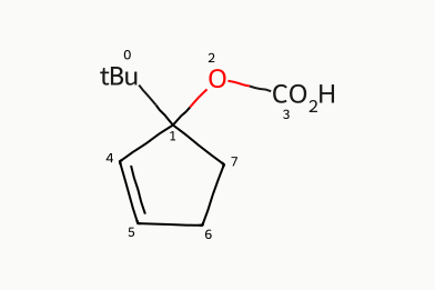 CC(C)(C)C1(OC(=O)O)C=CCC1